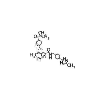 Cc1cnc(-c2ccc(CNC(=O)c3nn(C(C)C)c4c3CN(c3ccc(C(=O)N(C)C)cn3)C[C@@H]4C)cc2)nn1